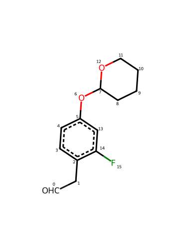 O=CCc1ccc(OC2CCCCO2)cc1F